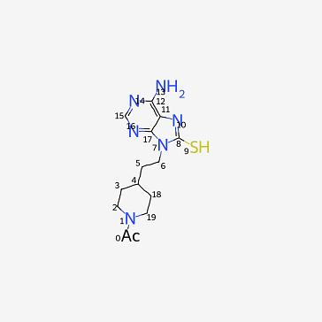 CC(=O)N1CCC(CCn2c(S)nc3c(N)ncnc32)CC1